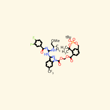 COC[C@H](C)N/C(=N/C(=O)c1ccc(F)c(F)c1)Nc1nn(C(=O)OCOC(=O)c2ccc3cc2C(C)(C)OP(=O)(OC(C)(C)C)OC3)c2cc(C(F)(F)F)ccc12